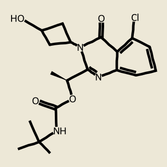 C[C@H](OC(=O)NC(C)(C)C)c1nc2cccc(Cl)c2c(=O)n1C1CC(O)C1